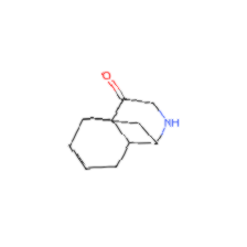 O=C1CNC2CC3CCCC2C13